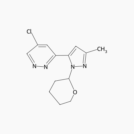 Cc1cc(-c2cc(Cl)cnn2)n(C2CCCCO2)n1